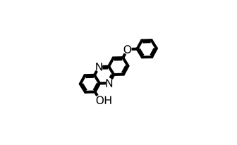 Oc1cccc2nc3cc(Oc4ccccc4)ccc3nc12